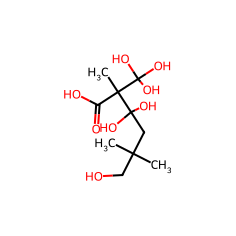 CC(C)(CO)CC(O)(O)C(C)(C(=O)O)C(O)(O)O